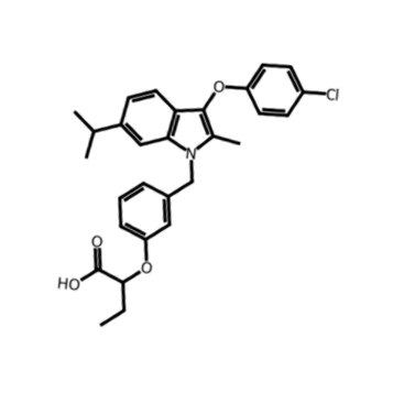 CCC(Oc1cccc(Cn2c(C)c(Oc3ccc(Cl)cc3)c3ccc(C(C)C)cc32)c1)C(=O)O